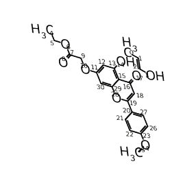 CC=CO.CCOC(=O)COc1cc(O)c2c(=O)cc(-c3ccc(OC)cc3)oc2c1